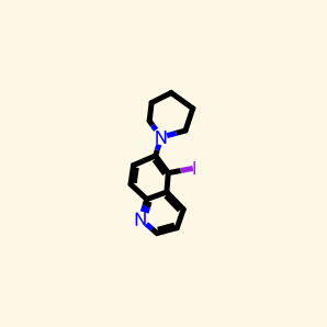 Ic1c(N2CCCCC2)ccc2ncccc12